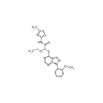 CCOC(Sc1ncnc2c1cnn2-c1ccccc1OC)C(=O)Nc1nc(C)cs1